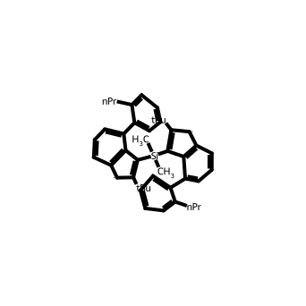 CCCc1ccccc1-c1cccc2c1C([Si](C)(C)C1=C(C(C)(C)C)[CH]c3cccc(-c4ccccc4CCC)c31)=C(C(C)(C)C)[CH]2